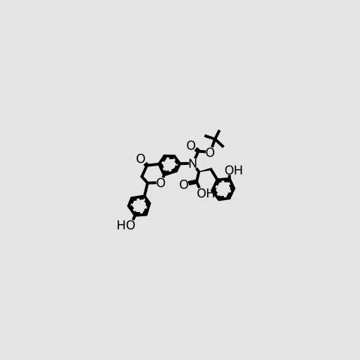 CC(C)(C)OC(=O)N(c1ccc2c(c1)OC(c1ccc(O)cc1)CC2=O)[C@@H](Cc1ccccc1O)C(=O)O